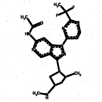 CNC1CC(C)N(c2nn(-c3ccnc(C(C)(F)F)n3)c3cc(NC(C)=O)ncc23)C1